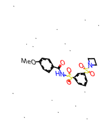 COc1ccc(C(=O)NS(=O)(=O)c2cccc(S(=O)(=O)N3CCC3)c2)cc1